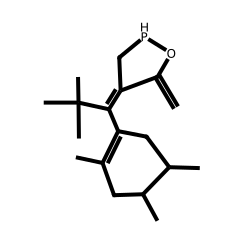 C=C1OPC/C1=C(/C1=C(C)CC(C)C(C)C1)C(C)(C)C